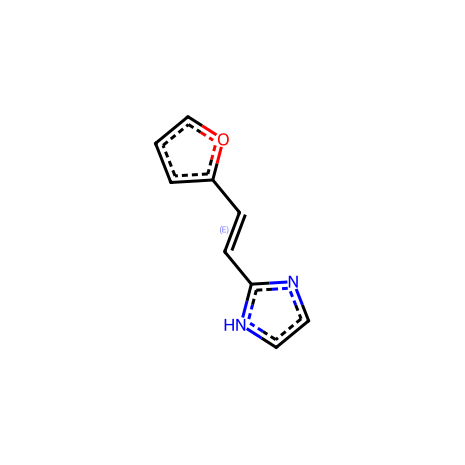 C(=C\c1ccco1)/c1ncc[nH]1